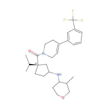 CC1COCCC1NC1CC[C@@](C(=O)N2CC=C(c3cccc(C(F)(F)F)c3)CC2)(C(C)C)C1